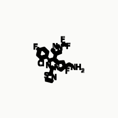 NCC1(F)CC2=C(c3cnn(C(F)F)c3)[C@H](c3ccc(F)cc3Cl)N=C(c3nccs3)N2C1